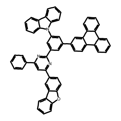 c1ccc(-c2cc(-c3ccc4oc5ccccc5c4c3)nc(-c3cc(-c4ccc5c6ccccc6c6ccccc6c5c4)cc(-n4c5ccccc5c5ccccc54)c3)n2)cc1